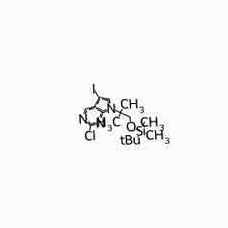 CC(C)(CO[Si](C)(C)C(C)(C)C)n1cc(I)c2cnc(Cl)nc21